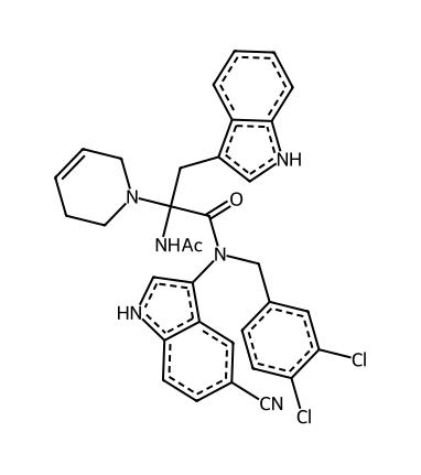 CC(=O)NC(Cc1c[nH]c2ccccc12)(C(=O)N(Cc1ccc(Cl)c(Cl)c1)c1c[nH]c2ccc(C#N)cc12)N1CC=CCC1